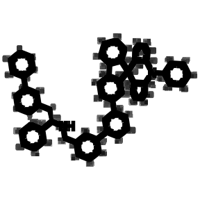 c1ccc(-c2cccc(C[C@@H](NCc3cccc(-c4cccc(-c5ccc6c(c5)C5(c7ccccc7-6)c6ccccc6N(c6ccccc6)c6ccccc65)c4)c3)c3ccccc3)c2)cc1